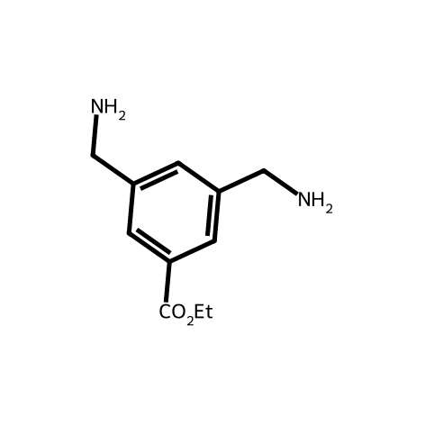 CCOC(=O)c1cc(CN)cc(CN)c1